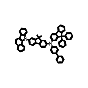 CC1(C)c2cc(N(c3ccc(-c4ccccc4)cc3)c3ccc4c(c3)C(c3ccccc3)(c3ccccc3)c3ccccc3-4)ccc2-c2ccc(-n3c4ccccc4c4ccc5ccccc5c43)cc21